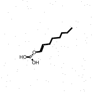 CCCCCCC=COP(O)O